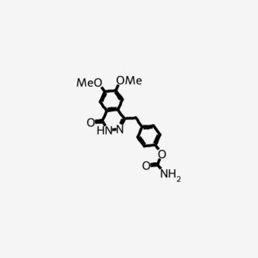 COc1cc2c(Cc3ccc(OC(N)=O)cc3)n[nH]c(=O)c2cc1OC